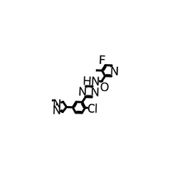 Cc1c(F)cncc1C(=O)Nc1cnc(-c2cc(C3C=NN(C)C3)ccc2Cl)cn1